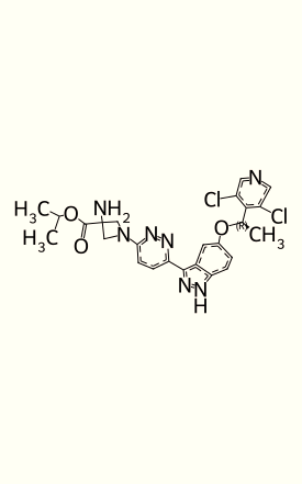 CC(C)OC(=O)C1(N)CN(c2ccc(-c3n[nH]c4ccc(O[C@H](C)c5c(Cl)cncc5Cl)cc34)nn2)C1